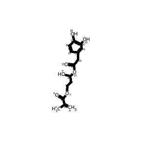 C=C(C)C(=O)OCCC(O)OC(=O)Cc1ccc(O)c(O)c1